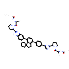 COC(=O)NC(C(=O)N1CCCC1c1ncc(-c2ccc(-c3ccc(-c4ccc5[nH]c(C6CCCN6C(=O)C(NC(=O)OC)C(C)C)nc5c4)c4c3CCC43CCCC3)cc2)[nH]1)C(C)C